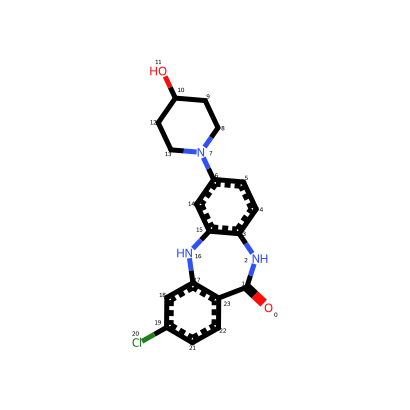 O=C1Nc2ccc(N3CCC(O)CC3)cc2Nc2cc(Cl)ccc21